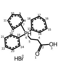 Br.O=C(O)CC[PH](c1ccccc1)(c1ccccc1)c1ccccc1